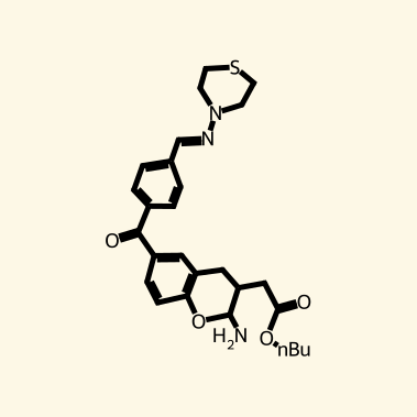 CCCCOC(=O)CC1Cc2cc(C(=O)c3ccc(C=NN4CCSCC4)cc3)ccc2OC1N